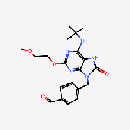 COCCOc1nc(NC(C)(C)C)c2[nH]c(=O)n(Cc3ccc(C=O)cc3)c2n1